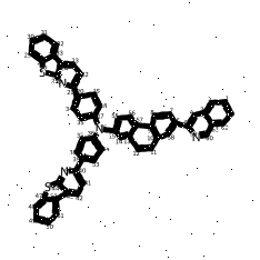 c1ccc2cc(-c3ccc4c(ccc5cc(N(c6ccc(-c7ccc8c(n7)sc7ccccc78)cc6)c6ccc(-c7ccc8c(n7)sc7ccccc78)cc6)ccc54)c3)ncc2c1